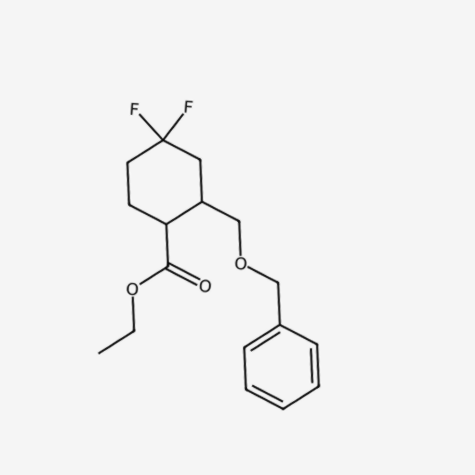 CCOC(=O)C1CCC(F)(F)CC1COCc1ccccc1